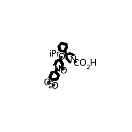 CC(C)c1ccccc1C1(Oc2ccn(-c3ccc(S(C)(=O)=O)cc3)c(=O)c2)CCN(C(=O)O)CC1